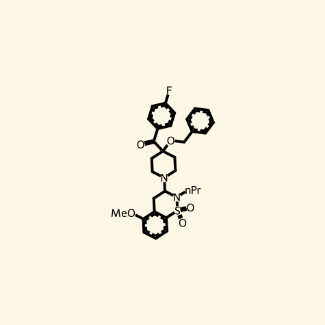 CCCN1C(N2CCC(OCc3ccccc3)(C(=O)c3ccc(F)cc3)CC2)Cc2c(OC)cccc2S1(=O)=O